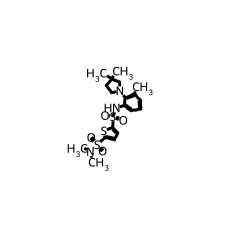 Cc1cccc(NS(=O)(=O)c2ccc(S(=O)(=O)N(C)C)s2)c1N1CCC(C)(C)C1